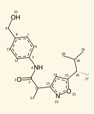 CC(C(=O)Nc1ccc(CO)cc1)c1cc([C@@H](C)C(C)C)on1